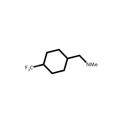 CNCC1CCC(C(F)(F)F)CC1